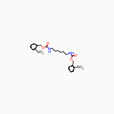 O=C(NCCCCCCNC(=O)OCc1ccccc1[N+](=O)[O-])OCc1ccccc1[N+](=O)[O-]